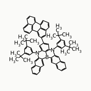 CC(C)(C)c1cc(N2c3cc4ccccc4cc3B3c4cc5ccccc5cc4N(c4cc(C(C)(C)C)cc(C(C)(C)C)c4)c4cc(-c5cc6cccc7c8cccc9cccc(c(c5)c67)c98)cc2c43)cc(C(C)(C)C)c1